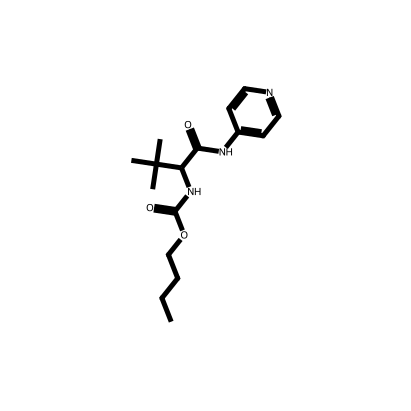 CCCCOC(=O)NC(C(=O)Nc1ccncc1)C(C)(C)C